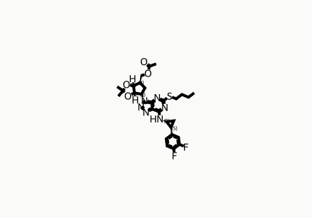 CCCCSc1nc(N[C@@H]2C[C@H]2c2ccc(F)c(F)c2)c2nnn([C@@H]3C[C@H](COC(C)=O)[C@H]4OC(C)(C)O[C@H]43)c2n1